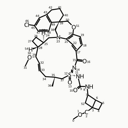 COCC12CCC1C(NC(=O)N[S@@]1(=O)=NC(=O)c3ccc4c(c3)N(C[C@@H]3CC[C@H]3[C@@H](OC)/C=C/C[C@H](C)C1)C[C@@]1(CCCc3cc(Cl)ccc31)CO4)C2